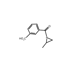 CC1CN1C(=O)c1cccc(C(=O)O)c1